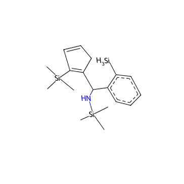 C[Si](C)(C)NC(C1=C([Si](C)(C)C)C=CC1)c1ccccc1[SiH3]